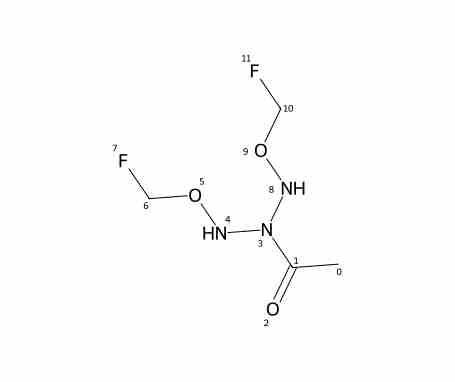 CC(=O)N(NOCF)NOCF